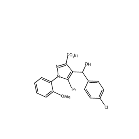 CCOC(=O)c1nn(-c2ccccc2OC)c(C(C)C)c1C(O)c1ccc(Cl)cc1